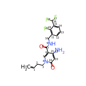 C=CCCn1cc(C(=O)NCc2cccc(C(F)F)c2F)c(N)cc1=O